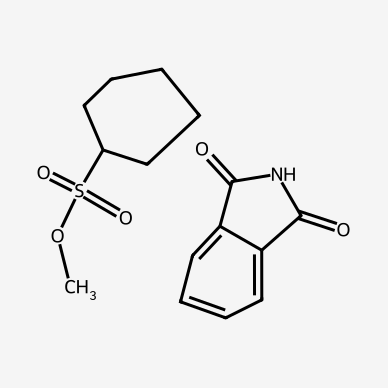 COS(=O)(=O)C1CCCCC1.O=C1NC(=O)c2ccccc21